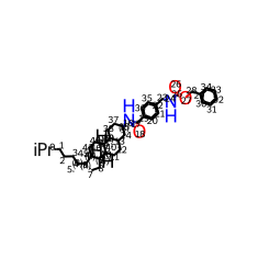 CC(C)CCC[C@@H](C)[C@H]1CC[C@H]2[C@@H]3CCC4C[C@H](NC(=O)c5ccc(CNC(=O)OCc6ccccc6)cc5)CC[C@]4(C)[C@H]3CC[C@]12C